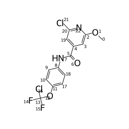 COc1cc(C(=O)Nc2ccc(OC(F)(F)Cl)cc2)cc(Cl)n1